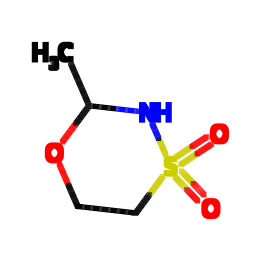 CC1NS(=O)(=O)CCO1